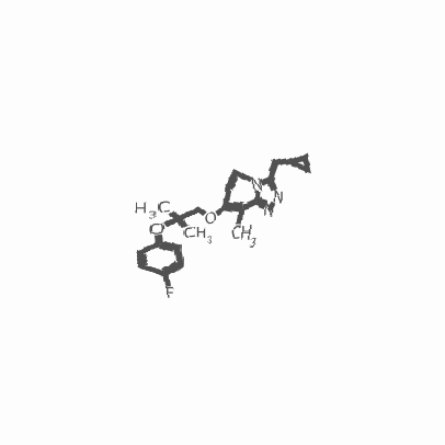 Cc1c(OCC(C)(C)Oc2ccc(F)cc2)ccn2c(CC3CC3)nnc12